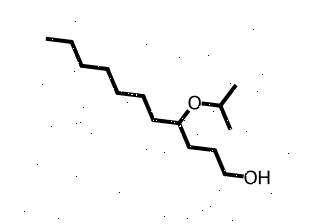 CCCCCCCC(CCCO)OC(C)C